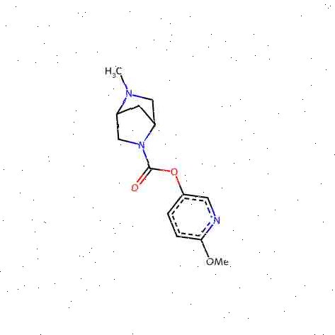 COc1ccc(OC(=O)N2CC3CC2CN3C)cn1